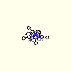 C#C/C=C\c1c(C)n(-c2c(C#N)c(-c3ccccc3)c(C#N)c(-n3c4ccccc4c4cc(-c5ccccc5)ccc43)c2-n2c3c(c4cc(-c5ccccc5)ccc42)C=CCC3)c2ccc(-c3ccccc3)cc12